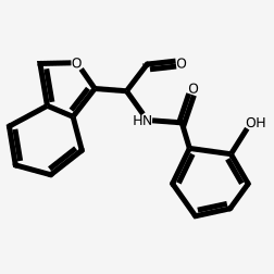 O=[C]C(NC(=O)c1ccccc1O)c1occ2ccccc12